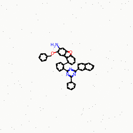 Nc1cc2oc3cccc(-c4ccccc4-c4nc(-c5ccccc5)nc(-c5ccc6ccccc6c5)n4)c3c2cc1OCc1ccccc1